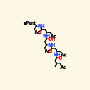 CCCCCC(CC(C)=O)NC(=O)CC(CC(C)=O)NC(O)CC(CC(C)=O)NC(=O)CC(CC(C)=O)NC(=O)CC(C)CC(C)=O